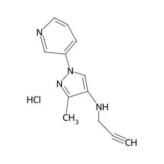 C#CCNc1cn(-c2cccnc2)nc1C.Cl